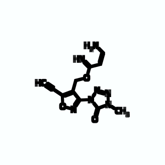 C#Cc1onc(-n2nnn(C)c2=O)c1COC(=N)/C=C\N